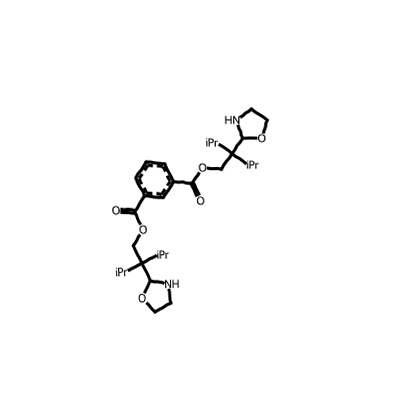 CC(C)C(COC(=O)c1cccc(C(=O)OCC(C(C)C)(C(C)C)C2NCCO2)c1)(C(C)C)C1NCCO1